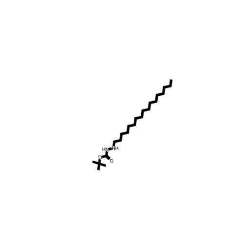 CCCCCCCCCCCCCCCCCNNC(=O)OC(C)(C)C